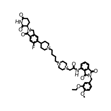 CCOc1cc(CN2C(=O)c3cccc(NC(=O)CN4CCN(CCCCN5CCC(c6cc7c(cc6F)C(=O)N(C6CCC(=O)NC6=O)C7)CC5)CC4)c3C2=O)ccc1OC